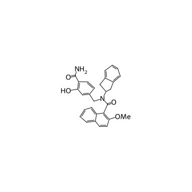 COc1ccc2ccccc2c1C(=O)N(Cc1ccc(C(N)=O)c(O)c1)C1Cc2ccccc2C1